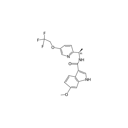 COc1ccc2c(C(=O)N[C@H](C)c3ccc(OCC(F)(F)F)cn3)c[nH]c2c1